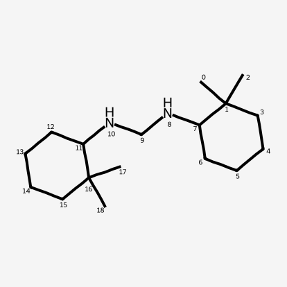 CC1(C)CCCCC1NCNC1CCCCC1(C)C